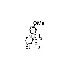 CCN1CCN(c2ccc(OC)cc2)C(C)(C)C1